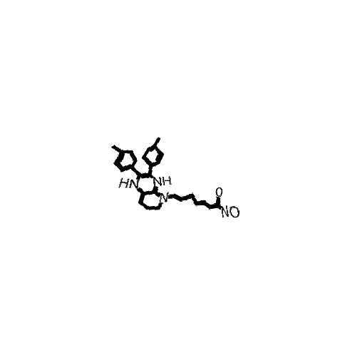 Cc1ccc(C2=C(c3ccc(C)cc3)NC3C(CCCN3CCCCCCC(=O)N=O)N2)cc1